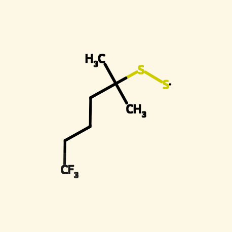 CC(C)(CCCC(F)(F)F)S[S]